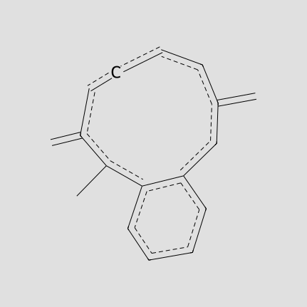 C=c1ccccc(=C)c(C)c2ccccc2c1